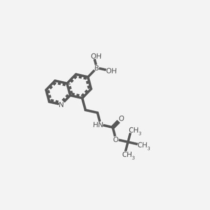 CC(C)(C)OC(=O)NCCc1cc(B(O)O)cc2cccnc12